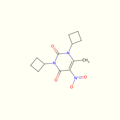 Cc1c([N+](=O)[O-])c(=O)n(C2CCC2)c(=O)n1C1CCC1